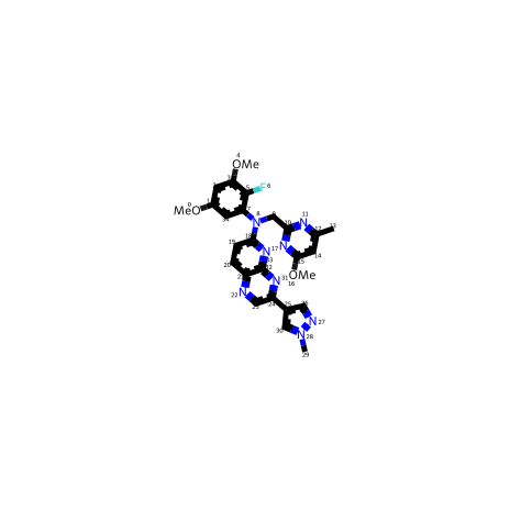 COc1cc(OC)c(F)c(N(Cc2nc(C)cc(OC)n2)c2ccc3ncc(-c4cnn(C)c4)nc3n2)c1